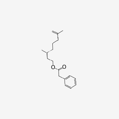 C=C(C)CCCC(C)CCOC(=O)Cc1ccccc1